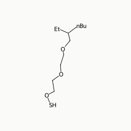 CCCCC(CC)COCCOCCOS